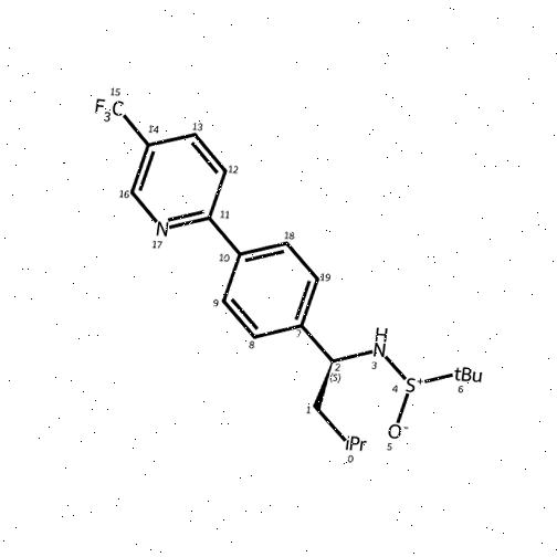 CC(C)C[C@H](N[S+]([O-])C(C)(C)C)c1ccc(-c2ccc(C(F)(F)F)cn2)cc1